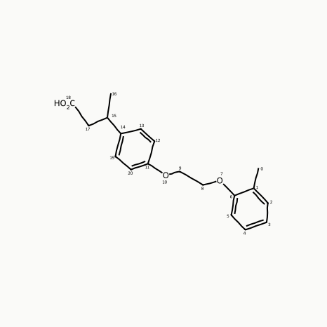 Cc1ccccc1OCCOc1ccc(C(C)CC(=O)O)cc1